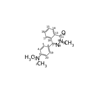 CN(C)c1ccc(-c2nn(C)c(=O)c3ccccc23)cc1